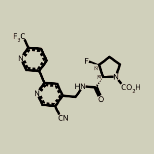 N#Cc1cnc(-c2ccc(C(F)(F)F)nc2)cc1CNC(=O)[C@@H]1[C@@H](F)CCN1C(=O)O